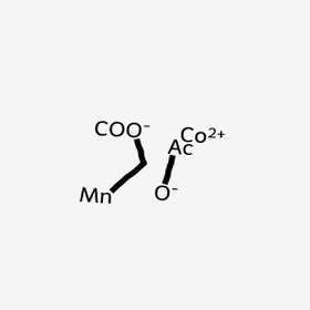 CC(=O)[O-].O=C([O-])[CH2][Mn].[Co+2]